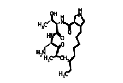 CCCCCCCCC1CNCC1C(=O)N[C@H](C(=O)N[C@@H](CN)C(=O)C(C)C)[C@H](C)O